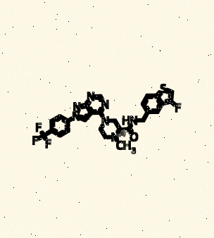 CN1CCN(c2ncnc3nn(-c4ccc(C(F)(F)F)cc4)cc23)C[C@H]1C(=O)NCc1ccc2scc(F)c2c1